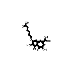 O=C(O)CCCCCOc1cc2cc(C(O)O)cc(O)c(=O)c2c(O)c1O